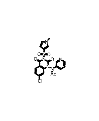 CC(=O)N(c1cccnc1)n1c(=O)n(S(=O)(=O)c2ccn(C)c2)c(=O)c2ccc(Cl)cc21